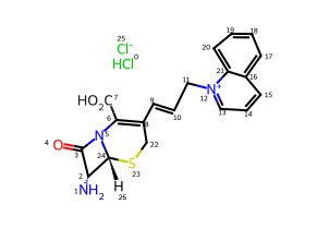 Cl.N[C@@H]1C(=O)N2C(C(=O)O)=C(C=CC[n+]3cccc4ccccc43)CS[C@H]12.[Cl-]